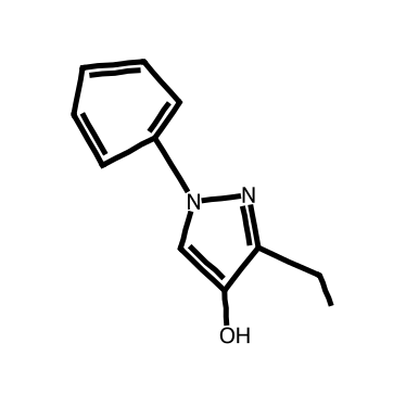 CCc1nn(-c2ccccc2)cc1O